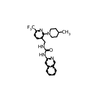 CC1CCN(c2nc(C(F)(F)F)ccc2CNC(=O)Nc2cc3ccccc3cn2)CC1